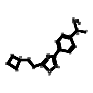 C[C@H](N)c1ccc(-c2noc(CCC3CCC3)n2)cc1